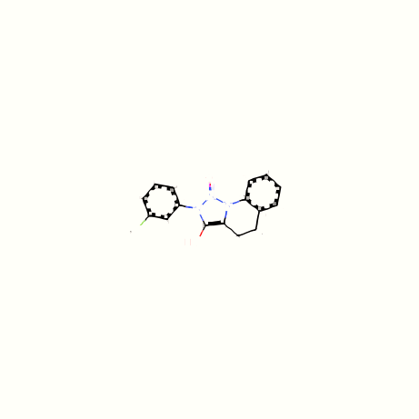 [O-][NH+]1N(c2cccc(F)c2)C(O)=C2CCc3ccccc3N21